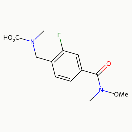 CON(C)C(=O)c1ccc(CN(C)C(=O)O)c(F)c1